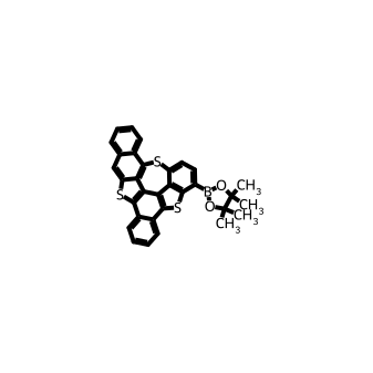 CC1(C)OB(c2ccc3sc4c5ccccc5cc5sc6c7ccccc7c7sc2c3c7c6c54)OC1(C)C